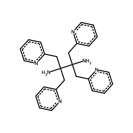 NC(Cc1ccccn1)(Cc1ccccn1)C(N)(Cc1ccccn1)Cc1ccccn1